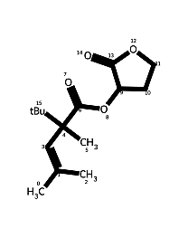 CC(C)=CC(C)(C(=O)OC1CCOC1=O)C(C)(C)C